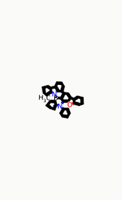 Cc1cccc2c1B1c3c(cc4c(oc5ccccc54)c3N2c2ccccc2)-c2cccc3c4ccccc4n1c23